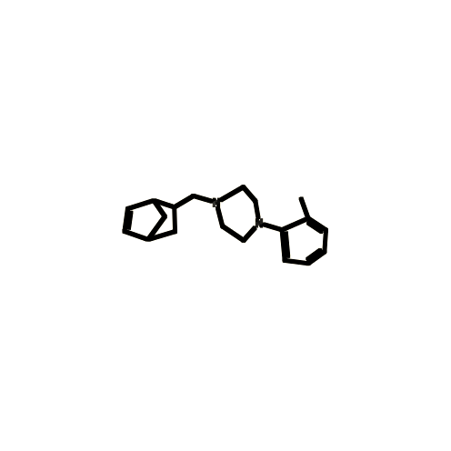 Cc1ccccc1N1CCN(CC2CC3C=CC2C3)CC1